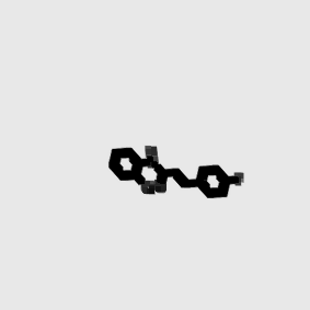 O=C(/C=C/c1ccc(F)cc1)Nc1ccccc1Cl